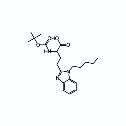 CCCCCn1c(CCC(NC(=O)OC(C)(C)C)C(=O)O)nc2ccccc21